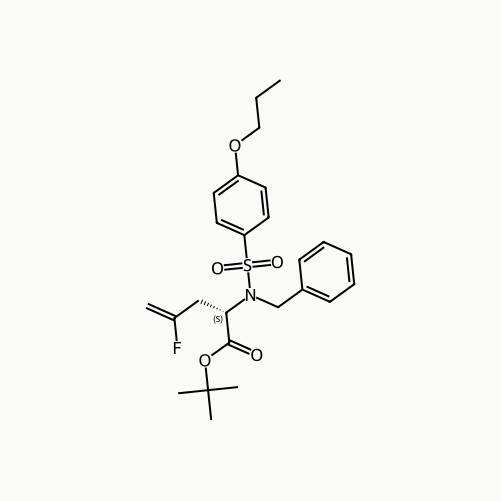 C=C(F)C[C@@H](C(=O)OC(C)(C)C)N(Cc1ccccc1)S(=O)(=O)c1ccc(OCCC)cc1